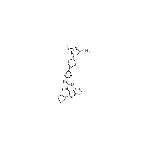 Cc1cc(N2CCN(c3ccc(NC(=O)C(=O)c4c(-c5ccccc5)cc5ccccn45)cc3)CC2)nc(C)n1